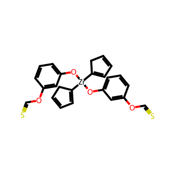 S=COc1cccc([O][Zr]([O]c2cccc(OC=S)c2)([C]2=CC=CC2)[C]2=CC=CC2)c1